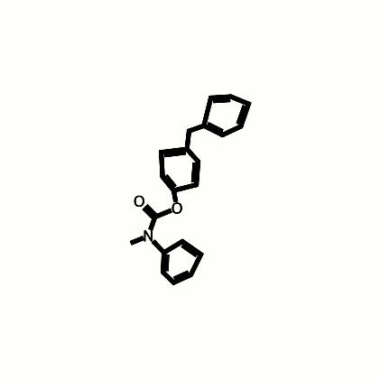 CN(C(=O)Oc1ccc(Cc2ccccc2)cc1)c1ccccc1